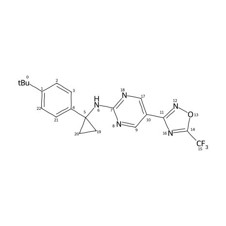 CC(C)(C)c1ccc(C2(Nc3ncc(-c4noc(C(F)(F)F)n4)cn3)CC2)cc1